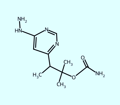 CC(c1cc(NN)ncn1)C(C)(C)OC(N)=O